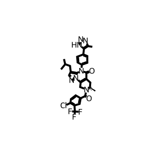 Cc1nn[nH]c1-c1ccc(-n2c(=O)c3c(n4ncc(CC(C)C)c24)CN(C(=O)c2ccc(Cl)c(C(F)(F)F)c2)[C@H](C)C3)cc1